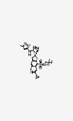 Cc1cc(Nc2nncn2C2Cc3cc4cnc(C5CC5)cc4c(S(=O)(=O)NCC(C)(C)F)c3C2)n(C)n1